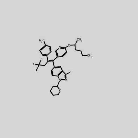 CCCC[C@H](C)Oc1ccc(/C(=C(/CC(F)(F)F)c2ccc(C)cc2)c2ccc3c(c2)c(F)nn3C2CCCCO2)cn1